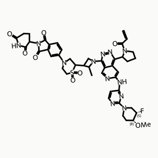 C=CC(=O)N1CCCC1c1nnc(N2CC(C3CN(c4ccc5c(c4)C(=O)N(C4CCC(=O)NC4=O)C5=O)CCS3(=O)=O)C2C)c2cnc(Nc3ccnc(N4CC[C@@H](OC)[C@@H](F)C4)n3)cc12